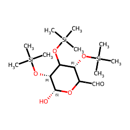 C[Si](C)(C)OC1[C@H](O[Si](C)(C)C)C(C=O)O[C@H](O)[C@@H]1O[Si](C)(C)C